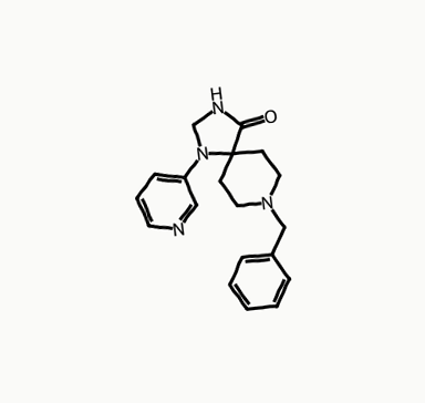 O=C1NCN(c2cccnc2)C12CCN(Cc1ccccc1)CC2